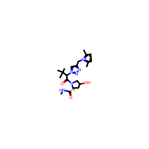 CNC(=O)[C@H]1CC(O)CN1C(=O)C(n1cc(Cn2c(C)ccc2C)nn1)C(C)(C)C